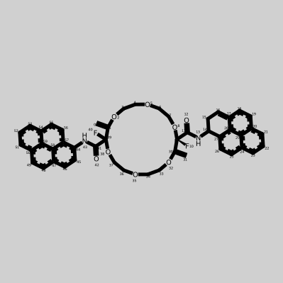 C=C1OCCOCCO[C@](F)(C(=O)NC2CC=c3ccc4cccc5ccc2c3c54)C(=C)OCCOCCOC1(F)C(=O)Nc1ccc2ccc3cccc4ccc1c2c34